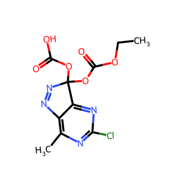 CCOC(=O)OC1(OC(=O)O)N=Nc2c(C)nc(Cl)nc21